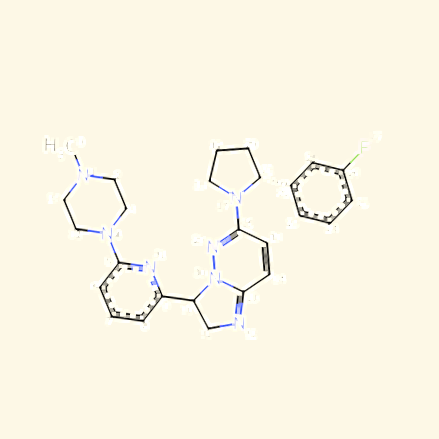 CN1CCN(c2cccc(C3CN=C4C=CC(N5CCC[C@@H]5c5cccc(F)c5)=NN43)n2)CC1